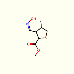 COC(=O)C1SCC(C)C1/C=N\O